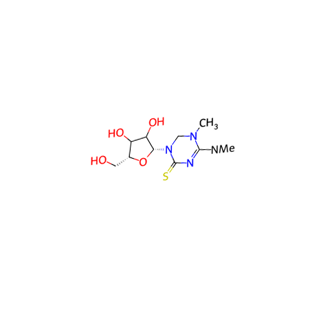 CNC1=NC(=S)N([C@@H]2O[C@H](CO)C(O)C2O)CN1C